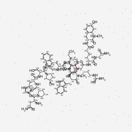 CCCC[C@@H](C(=O)N[C@@H](CCCNC(=N)N)C(=O)NC(CSCC(=O)N[C@@H](Cc1ccc(O)cc1)C(=O)NC)C(=O)NCC(N)=O)N(C)C(=O)[C@H](CCSC)N(C)C(=O)[C@H](Cc1c[nH]c2ccccc12)NC(=O)[C@H](CO)NC(=O)[C@H](Cc1c[nH]c2ccccc12)NC(=O)[C@@H]1C[C@@H](O)CN1C(=O)[C@H](CO)NC(=O)[C@H](Cc1cnc[nH]1)NC(=O)[C@@H]1CCCN1C(=O)[C@@H](N)CC(N)=O